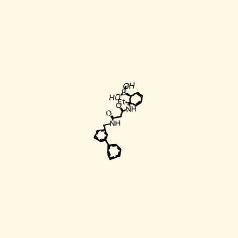 CC[C@]1(NC(=O)CC(=O)NCc2cccc(-c3ccccc3)c2)C=CC=CC1B(O)O